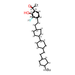 CCCCC1CCC(CCC2CCC(C3CCC(CCc4ccc(C(=O)CC)c(O)c4F)CC3)CC2)CC1